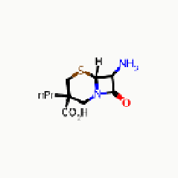 CCCC1(C(=O)O)CS[C@@H]2C(N)C(=O)N2C1